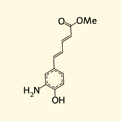 COC(=O)C=CC=Cc1ccc(O)c(N)c1